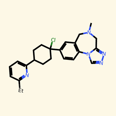 CCc1cccc(C2CCC(Cl)(c3ccc4c(c3)CN(C)Cc3nncn3-4)CC2)n1